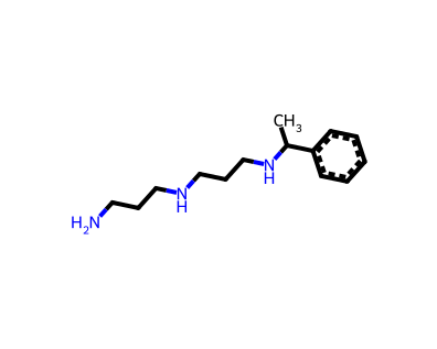 CC(NCCCNCCCN)c1ccccc1